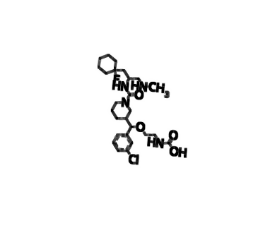 CNCC(CC1(F)CCCCC1)NC(=O)N1CCCC(C(OCCNC(=O)O)c2cccc(Cl)c2)C1